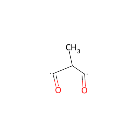 CC([C]=O)[C]=O